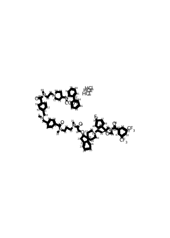 CN(Cc1ccc(C(=O)N(C)CCCN(C)C(=O)CO[C@H]2Cc3ccccc3C23CCN(CC[C@@]2(c4ccc(F)cc4)CN(C(=O)c4cc(C(F)(F)F)cc(C(F)(F)F)c4)CO2)CC3)cc1)Cc1ccc(C(=O)N(C)CCN2CCC(N(C(=O)O)c3ccccc3-c3ccccc3)CC2)cc1.Cl.Cl.Cl